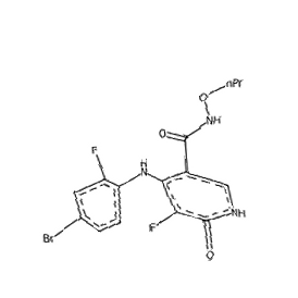 CCCONC(=O)c1c[nH]c(=O)c(F)c1Nc1ccc(Br)cc1F